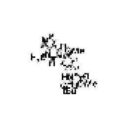 COC(=O)[C@H](Cc1ccc(-n2c(=O)c3ccncc3n(C)c2=O)c(OC)c1)NC(=O)OC(C)(C)C